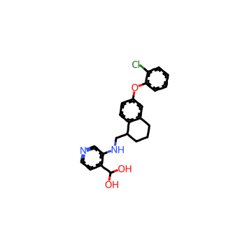 OC(O)c1ccncc1NCC1CCCc2cc(Oc3ccccc3Cl)ccc21